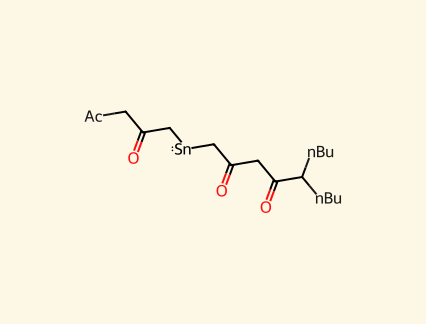 CCCCC(CCCC)C(=O)CC(=O)[CH2][Sn][CH2]C(=O)CC(C)=O